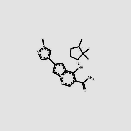 CC1CC[C@@H](Nc2c(C(N)=O)cnn3cc(-c4cnn(C)c4)cc23)C1(C)C